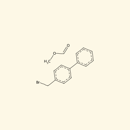 BrCc1ccc(-c2ccccc2)cc1.COC=O